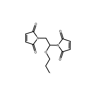 [CH2]CCOC(CN1C(=O)C=CC1=O)N1C(=O)C=CC1=O